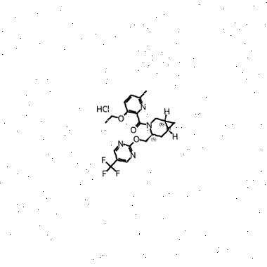 CCOc1ccc(C)nc1C(=O)N1C[C@@H]2C[C@@H]2C[C@H]1COc1ncc(C(F)(F)F)cn1.Cl